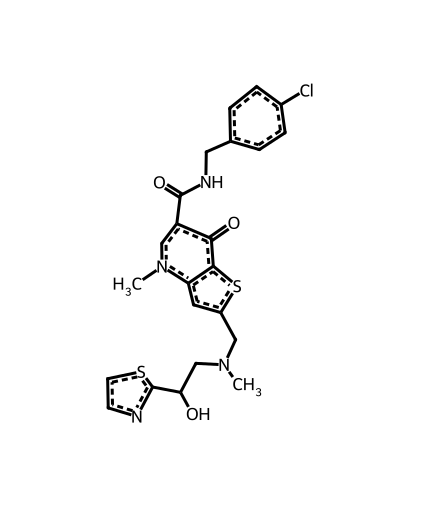 CN(Cc1cc2c(s1)c(=O)c(C(=O)NCc1ccc(Cl)cc1)cn2C)CC(O)c1nccs1